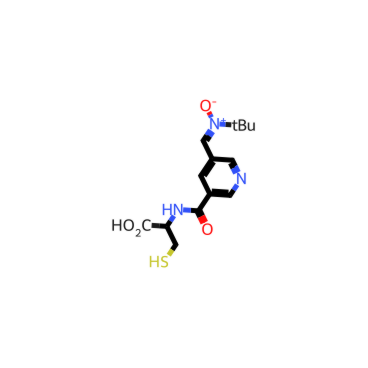 CC(C)(C)/[N+]([O-])=C\c1cncc(C(=O)NC(CS)C(=O)O)c1